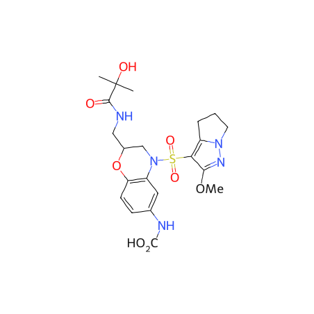 COc1nn2c(c1S(=O)(=O)N1CC(CNC(=O)C(C)(C)O)Oc3ccc(NC(=O)O)cc31)CCC2